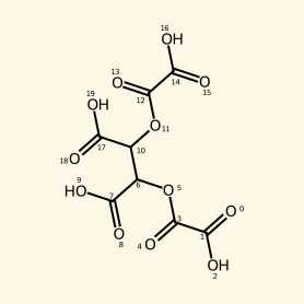 O=C(O)C(=O)OC(C(=O)O)C(OC(=O)C(=O)O)C(=O)O